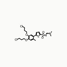 Cc1cc(OCCCCl)c(OCCCCl)cc1-c1ccc(S(=O)(=O)N=CN(C)C)s1